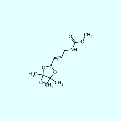 COC(=O)NC/C=C/B1OC(C)(C)C(C)(C)O1